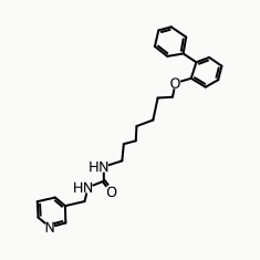 O=C(NCCCCCCCOc1ccccc1-c1ccccc1)NCc1cccnc1